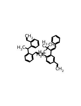 C=Cc1ccc(C)c(C(=Cc2ccccc2)C(C)(C)C)c1.C=Cc1ccccc1C(C)c1ccccc1C=C